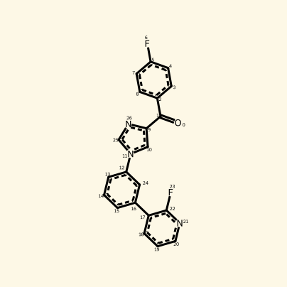 O=C(c1ccc(F)cc1)c1cn(-c2cccc(-c3cccnc3F)c2)cn1